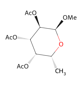 CO[C@H]1O[C@H](C)[C@H](OC(C)=O)[C@H](OC(C)=O)[C@H]1OC(C)=O